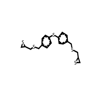 c1cc(Sc2ccc(CSCC3CS3)cc2)ccc1CSCC1CS1